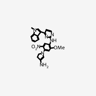 COc1cc(N2C=C(N)CC2)c([N+](=O)[O-])cc1Nc1nccc(-c2cn(C)c3ccccc23)n1